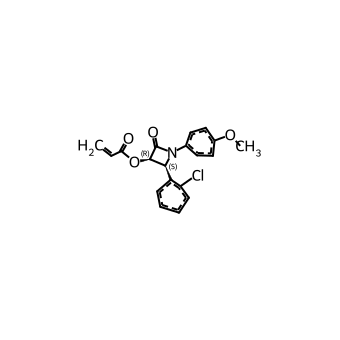 C=CC(=O)O[C@H]1C(=O)N(c2ccc(OC)cc2)[C@H]1c1ccccc1Cl